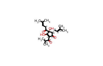 CC(C)=CCC(=O)[C@]1(O)C(O)=C(C(=O)C(C)C)C(=O)[C@H]1CC=C(C)C